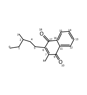 CCC(C)CCC1=C(C)C(=O)c2ccccc2C1=O